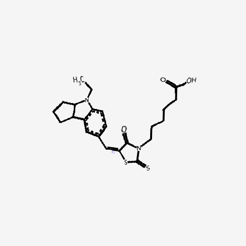 CCN1c2ccc(/C=C3/SC(=S)N(CCCCCC(=O)O)C3=O)cc2C2CCCC21